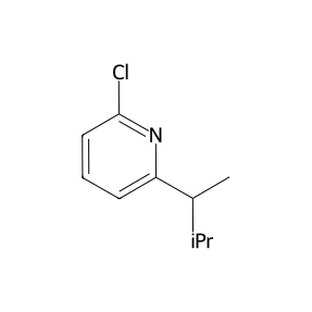 CC(C)C(C)c1cccc(Cl)n1